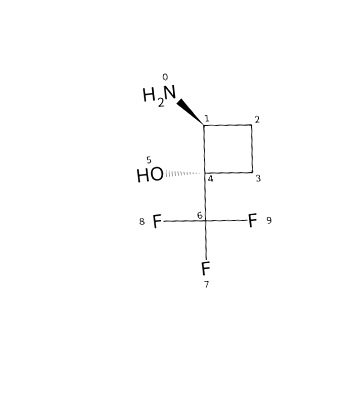 N[C@H]1CC[C@@]1(O)C(F)(F)F